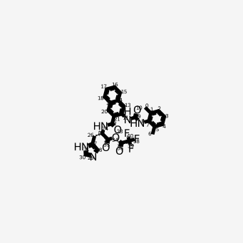 Cc1cccc(C)c1NC(=O)Nc1cc2ccccc2cc1C(=O)N[C@@H](Cc1cnc[nH]1)C(=O)OC(=O)C(F)(F)F